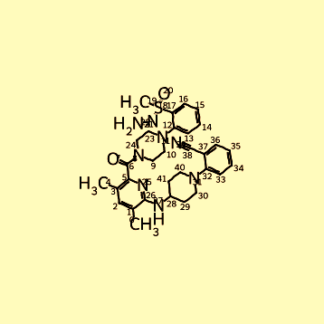 Cc1cc(C)c(C(=O)N2CCN(c3ccccc3S(C)(=O)=NN)CC2)nc1NC1CCN(c2ccccc2C#N)CC1